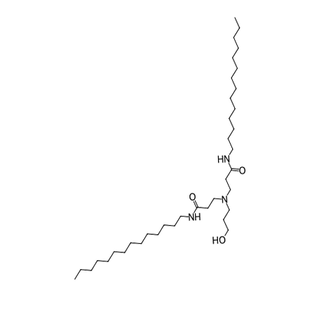 CCCCCCCCCCCCCCNC(=O)CCN(CCCO)CCC(=O)NCCCCCCCCCCCCCC